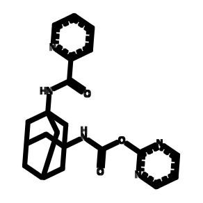 O=C(NC12CC3CC(C1)CC(NC(=O)c1ccccn1)(C3)C2)Oc1ncccn1